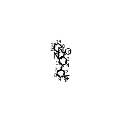 O=c1c2ccc(-c3cccc(F)c3)cc2nc2n1CCC=C2